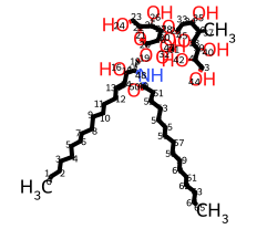 CCCCCCCCCCCCC/C=C/[C@@H](O)[C@H](CO[C@@H]1OC(CO)[C@H](O)[C@H](O[C@]2(OC=O)C[C@@H](O)[C@@H](C)C([C@H](O)[C@H](O)CO)O2)C1O)NC(=O)CCCCCCCCCCCCCCC